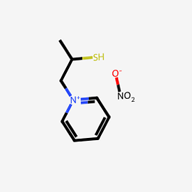 CC(S)C[n+]1ccccc1.O=[N+]([O-])[O-]